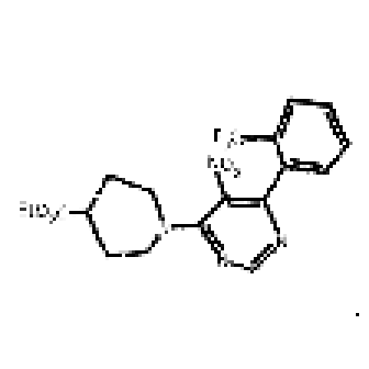 CCOC(=O)C1CCN(c2ncnc(-c3ccccc3C(F)(F)F)c2[N+](=O)[O-])CC1